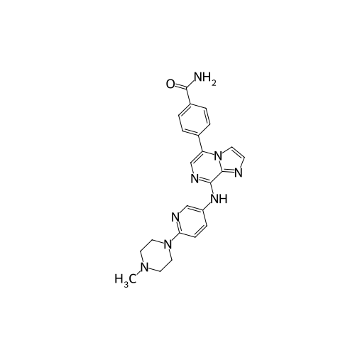 CN1CCN(c2ccc(Nc3ncc(-c4ccc(C(N)=O)cc4)n4ccnc34)cn2)CC1